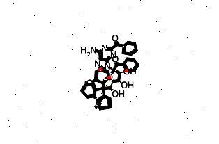 COc1ccccc1C(c1ccccc1)(c1ccccc1OC)C(O)[C@H]1O[C@@](C(=O)c2ccccc2)(n2cnc3c(N)nc(C(=O)c4ccccc4)nc32)[C@H](O)[C@@H]1O